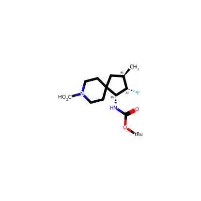 C[C@@H]1CC2(CCN(C(=O)O)CC2)[C@@H](NC(=O)OC(C)(C)C)[C@H]1F